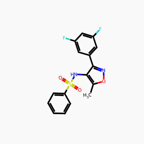 Cc1onc(-c2cc(F)cc(F)c2)c1NS(=O)(=O)c1ccccc1